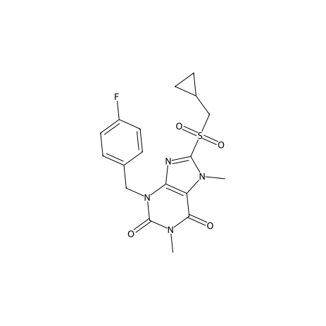 Cn1c(=O)c2c(nc(S(=O)(=O)CC3CC3)n2C)n(Cc2ccc(F)cc2)c1=O